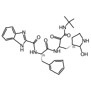 CC(C)(C)NC(=O)C(=O)C(C[C@@H]1CCNC1O)NC(=O)[C@H](Cc1ccccc1)NC(=O)c1nc2ccccc2[nH]1